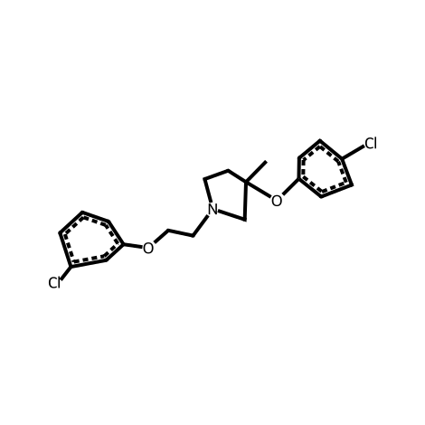 CC1(Oc2ccc(Cl)cc2)CCN(CCOc2cccc(Cl)c2)C1